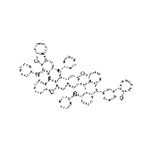 c1ccc(-n2c3cccc4c3p3c5c(cccc5n4-c4ccc5oc6ccccc6c5c4)oc4cc5c(cc6oc7cccc8c7p7c6c5n(-c5ccccc5)c5cc6c9ccccc9oc6c(c57)n8-c5ccccc5)c2c43)cc1